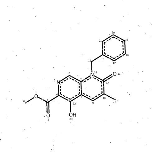 COC(=O)c1ncc2c(cc(C)c(=O)n2Cc2ccccc2)c1O